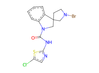 O=C(Nc1ncc(Cl)s1)N1CC2(CCN(Br)C2)c2ccccc21